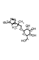 CC(C)(CO[C@@H]1O[C@H](CO)[C@H](O)[C@H](O)[C@H]1O)c1cn(C(C)(C)C)nn1